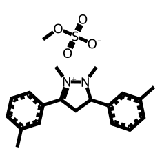 COS(=O)(=O)[O-].Cc1cccc(C2=[N+](C)N(C)C(c3cccc(C)c3)C2)c1